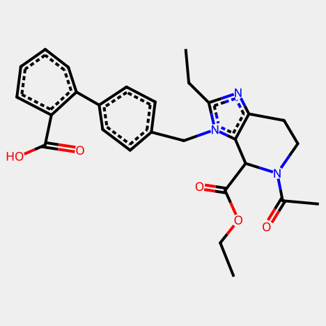 CCOC(=O)C1c2c(nc(CC)n2Cc2ccc(-c3ccccc3C(=O)O)cc2)CCN1C(C)=O